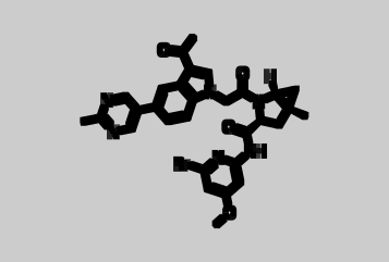 COc1cc(Br)nc(NC(=O)[C@@H]2C[C@@]3(C)C[C@H]3N2C(=O)Cn2cc(C(C)=O)c3cc(-c4cnc(C)nc4)ccc32)c1